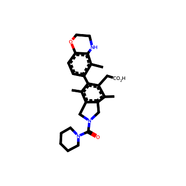 Cc1c2c(c(C)c(-c3ccc4c(c3C)NCCO4)c1CC(=O)O)CN(C(=O)N1CCCCC1)C2